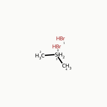 Br.Br.C[SiH2]C